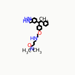 C/C(=C(/c1ccc(OCCNC/C=C/C(=O)N(C)C)cc1)c1ccc2c(c1)CNN2)c1ccccc1